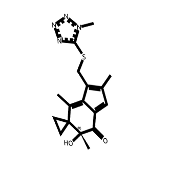 CC1=C(CSc2nnnn2C)C2=C(C)C3(CC3)[C@@](C)(O)C(=O)C2=C1